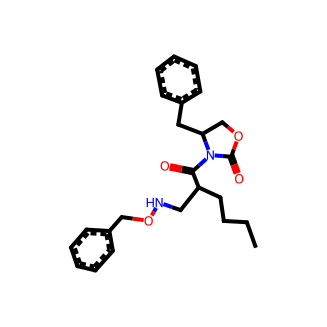 CCCCC(CNOCc1ccccc1)C(=O)N1C(=O)OCC1Cc1ccccc1